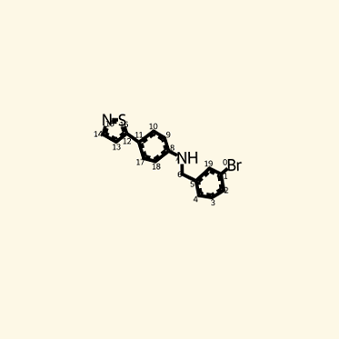 Brc1cccc(CNc2ccc(-c3ccns3)cc2)c1